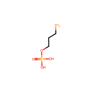 O=P(O)(O)OCCCP